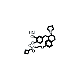 Cl.O=S(=O)(NCCOc1ccc2c(c1)C(Cc1ccc(Cl)c(Cl)c1)C(N1CCCC1)CC2)C1CCC1